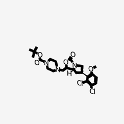 COc1ccc(Cl)c(Cl)c1[C@H]1C[C@H]2C(CN3CCN(C(=O)OC(C)(C)C)CC3)OC(=O)N2C1